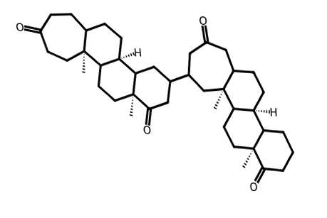 C[C@]12CCC(=O)CCC1CC[C@@H]1C2CC[C@]2(C)C(=O)CC(C3CC(=O)CC4CC[C@@H]5C(CC[C@]6(C)C(=O)CCCC56)[C@@]4(C)C3)CC12